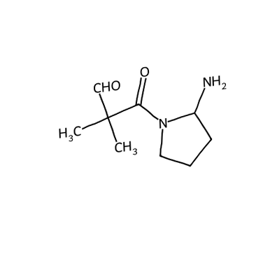 CC(C)(C=O)C(=O)N1CCCC1N